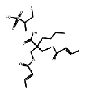 CC([CH2][K])S(=O)(=O)O.CC=CC(=O)OCC(CCCC)(COC(=O)C=CC)C(=O)O